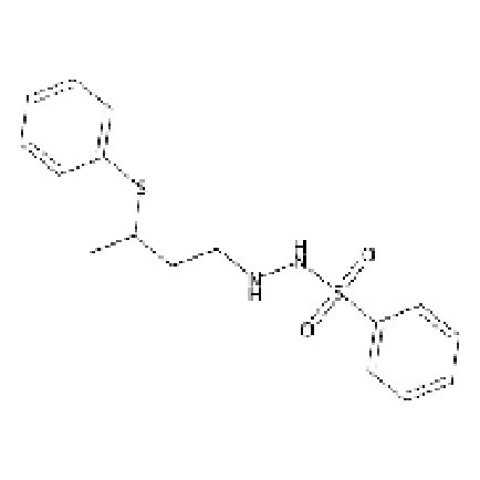 CC(CCNNS(=O)(=O)c1ccccc1)Sc1ccccc1